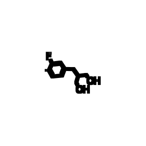 OCC(CO)Cc1cc[c]c(F)c1